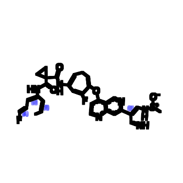 C\C=C/C(=C\C=C\F)NC(=O)C1(C(=O)NC2=CCC=C(Oc3ccnc4cc(/C(C=N)=C/N[S+](C)[O-])ncc34)C(F)=C2)CC1